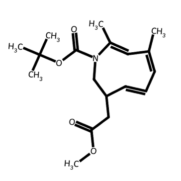 COC(=O)CC1/C=C/C=C(C)\C=C(/C)N(C(=O)OC(C)(C)C)C1